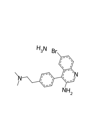 CN(C)CCc1ccc(-c2c(N)cnc3ccc(Br)cc23)cc1.N